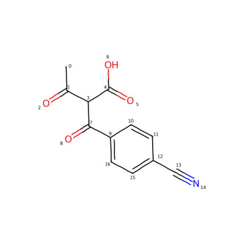 CC(=O)C(C(=O)O)C(=O)c1ccc(C#N)cc1